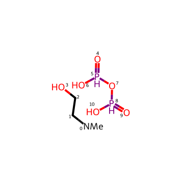 CNCCO.O=[PH](O)O[PH](=O)O